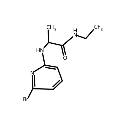 CC(Nc1cccc(Br)n1)C(=O)NCC(F)(F)F